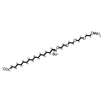 NOCCOCCOCCOCCON=CCCCCCCCCCCCCCCC(=O)[O-].[Na+]